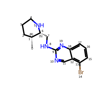 C[C@@H]1CCCN[C@@H]1CNc1ncc2c(Br)cccc2n1